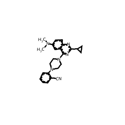 CN(C)c1ccc2nc(C3CC3)nc(N3CCN(c4ccccc4C#N)CC3)c2c1